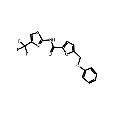 O=C(Nc1nc(C(F)(F)F)cs1)c1ccc(COc2ccccc2)o1